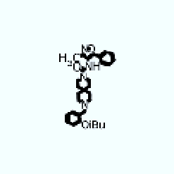 Cc1noc(-c2ccccc2)c1NC(=O)N1CCC2(CCN(Cc3ccccc3OCC(C)C)CC2)CC1